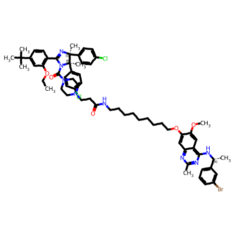 CCOc1cc(C(C)(C)C)ccc1C1=N[C@@](C)(c2ccc(Cl)cc2)[C@@](C)(c2ccc(Cl)cc2)N1C(=O)N1CCN(CCC(=O)NCCCCCCCCCOc2cc3nc(C)nc(N[C@H](C)c4cccc(Br)c4)c3cc2OC)CC1